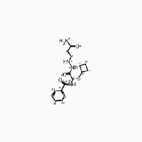 NC(=O)CCNNC(=O)[C@H](CC1CCC1)NC(=O)c1cnccn1